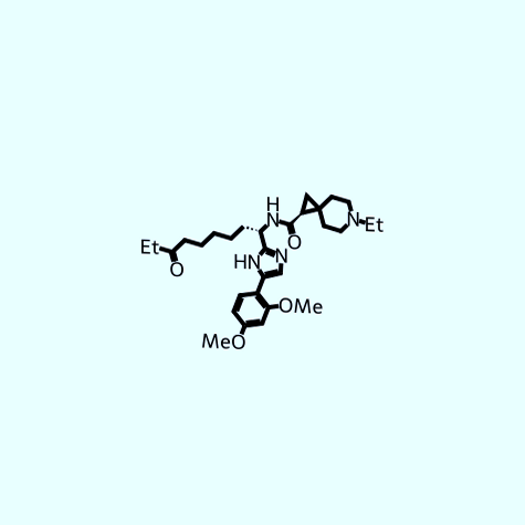 CCC(=O)CCCCC[C@H](NC(=O)[C@H]1CC12CCN(CC)CC2)c1ncc(-c2ccc(OC)cc2OC)[nH]1